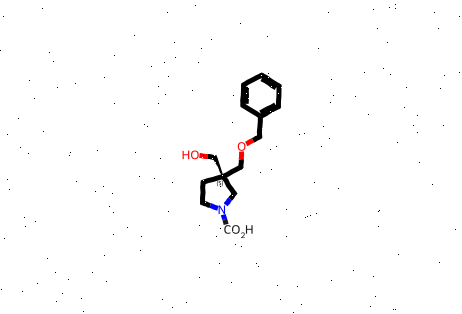 O=C(O)N1CC[C@](CO)(COCc2ccccc2)C1